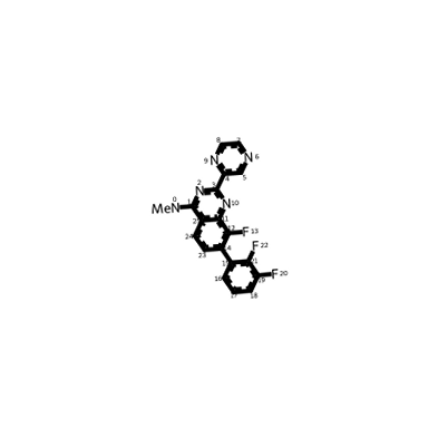 CNc1nc(-c2cnccn2)nc2c(F)c(-c3cccc(F)c3F)ccc12